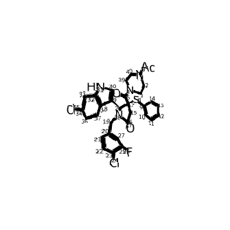 CC(=O)N1CCN(C(=O)[C@]2(Sc3ccccc3)CC(=O)N(Cc3ccc(Cl)c(F)c3)[C@H]2c2c[nH]c3cc(Cl)ccc23)CC1